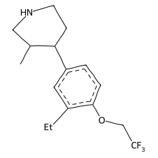 CCc1cc(C2CCNCC2C)ccc1OCC(F)(F)F